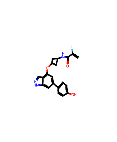 C=C(F)C(=O)NC1CC(Oc2cc(-c3ccc(O)cc3)cc3[nH]ncc23)C1